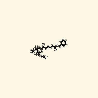 CC1(C)O[C@@H]2[C@@H](N=[N+]=[N-])CN(C(=O)CCCCC(=O)OCc3ccccc3)C[C@@H]2O1